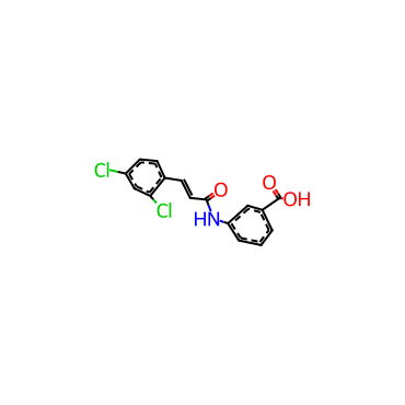 O=C(/C=C/c1ccc(Cl)cc1Cl)Nc1cccc(C(=O)O)c1